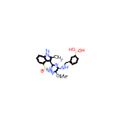 COc1nnc(-c2c(C)[nH]c3cccc([S+](N)[O-])c23)nc1NCc1cccc(B(O)O)c1